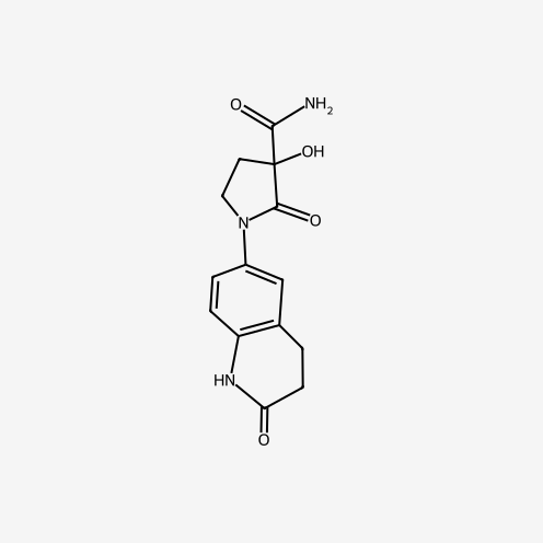 NC(=O)C1(O)CCN(c2ccc3c(c2)CCC(=O)N3)C1=O